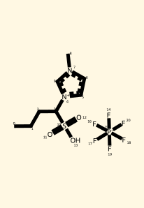 CCCC([n+]1ccn(C)c1)S(=O)(=O)O.F[P-](F)(F)(F)(F)F